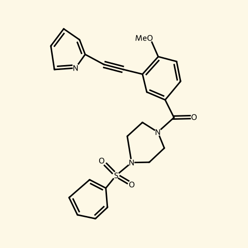 COc1ccc(C(=O)N2CCN(S(=O)(=O)c3ccccc3)CC2)cc1C#Cc1ccccn1